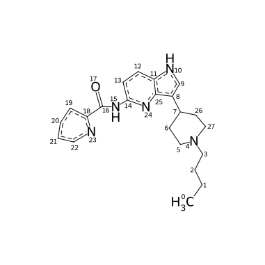 CCCCN1CCC(c2c[nH]c3ccc(NC(=O)c4ccccn4)nc23)CC1